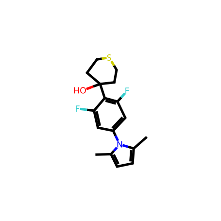 Cc1ccc(C)n1-c1cc(F)c(C2(O)CCSCC2)c(F)c1